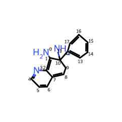 NC1=c2ncccc2=CCC1(N)c1ccccc1